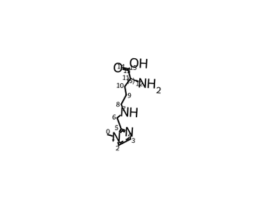 Cn1ccnc1CNCCC[C@H](N)C(=O)O